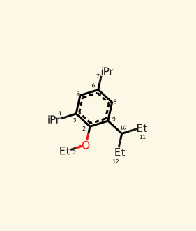 CCOc1c(C(C)C)cc(C(C)C)cc1C(CC)CC